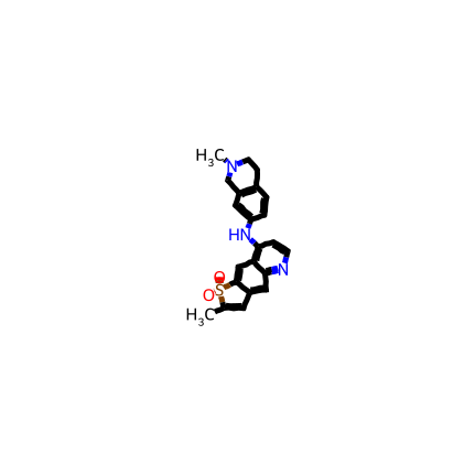 CC1=Cc2cc3nccc(Nc4ccc5c(c4)CN(C)CC5)c3cc2S1(=O)=O